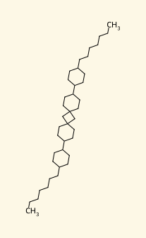 CCCCCCCC1CCC(C2CCC3(CC2)CC2(CCC(C4CCC(CCCCCCC)CC4)CC2)C3)CC1